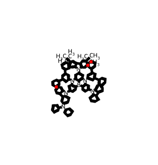 CC(C)(C)c1ccc2c(c1)c1cc(C(C)(C)C)ccc1n2-c1cc2c3c(c1)N(c1cc(-c4ccccc4)cc(-c4ccccc4)c1)c1cc(-n4c5ccccc5c5cc(N(c6ccccc6)c6ccccc6)ccc54)ccc1B3c1ccc(-n3c4ccccc4c4ccccc43)cc1N2c1cc(-c2ccccc2)cc(-c2ccccc2)c1